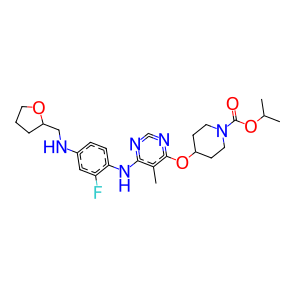 Cc1c(Nc2ccc(NCC3CCCO3)cc2F)ncnc1OC1CCN(C(=O)OC(C)C)CC1